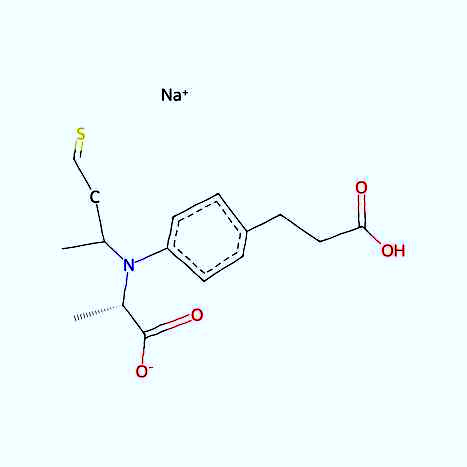 CC(CC=S)N(c1ccc(CCC(=O)O)cc1)[C@@H](C)C(=O)[O-].[Na+]